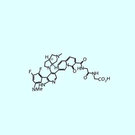 CNc1cc(F)c(F)c2c1[nH]c1ncc(-c3ccc4ccc(C(=O)NCC(=O)NCC(=O)O)c(=O)n4c3)c(N3CC[C@H]4CN(C)C[C@H]43)c12